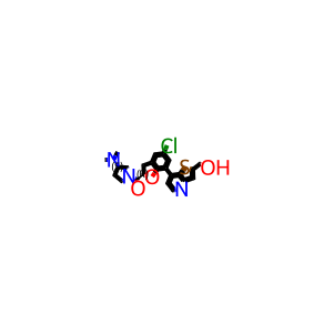 CN(C)[C@H]1CCN(C(=O)[C@H]2Cc3cc(Cl)cc(-c4ccnc5cc(CO)sc45)c3O2)C1